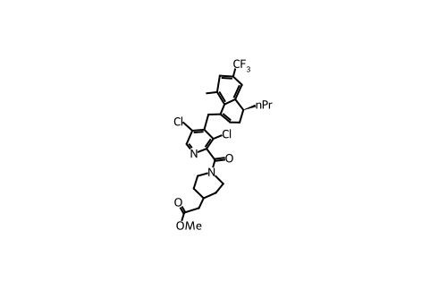 CCC[C@H]1CC=C(Cc2c(Cl)cnc(C(=O)N3CCC(CC(=O)OC)CC3)c2Cl)c2c(C)cc(C(F)(F)F)cc21